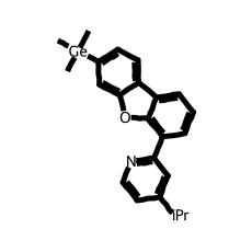 CC(C)c1ccnc(-c2cccc3c2oc2c[c]([Ge]([CH3])([CH3])[CH3])ccc23)c1